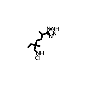 CCC(C)(CCC(C)c1nn[nH]n1)CNCl